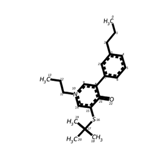 CCCc1cccc(-c2cn(CCC)cc(SC(C)(C)C)c2=O)c1